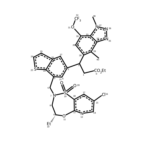 CCOC(=O)CC(c1cc(CN2C[C@@H](CC)Oc3ncc(Cl)cc3S2(=O)=O)c2sccc2c1)c1cc(OC(F)(F)F)c2c(nnn2C)c1C